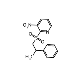 CC(CS(=O)(=O)c1ncccc1[N+](=O)[O-])c1ccccc1